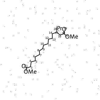 COC(=O)CCCCCCCCCCCCC(CC(=O)OC)C(C)C